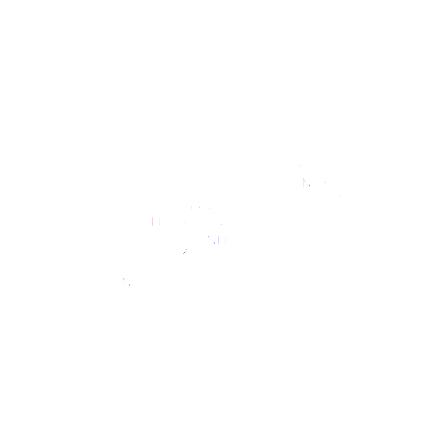 NCCCC[C@H](NC(=O)CCCCCN1C(=O)C=CC1=O)C(=O)O